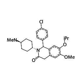 CN[C@H]1CC[C@H](N2C(=O)Cc3cc(OC)c(OC(C)C)cc3C2c2ccc(Cl)cc2)CC1